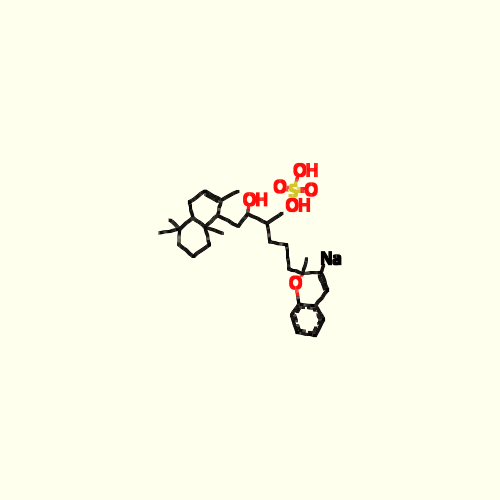 CC1=CCC2C(C)(C)CCCC2(C)C1CC(O)C(C)CCCC1(C)Oc2ccccc2C=[C]1[Na].O=S(=O)(O)O